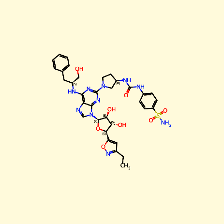 CCc1cc([C@H]2O[C@@H](n3cnc4c(N[C@H](CO)Cc5ccccc5)nc(N5CC[C@@H](NC(=O)Nc6ccc(S(N)(=O)=O)cc6)C5)nc43)[C@@H](O)[C@@H]2O)on1